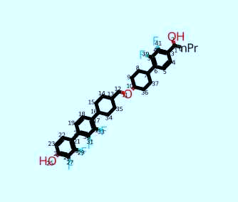 CCCC(O)c1ccc(C2CCC(OCC3CCC(c4ccc(-c5ccc(O)c(F)c5F)c(F)c4F)CC3)CC2)c(F)c1F